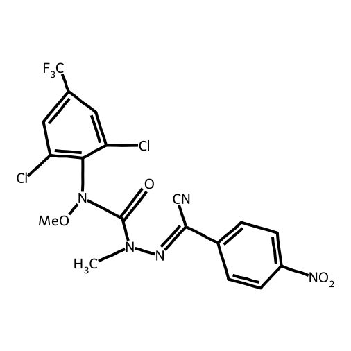 CON(C(=O)N(C)N=C(C#N)c1ccc([N+](=O)[O-])cc1)c1c(Cl)cc(C(F)(F)F)cc1Cl